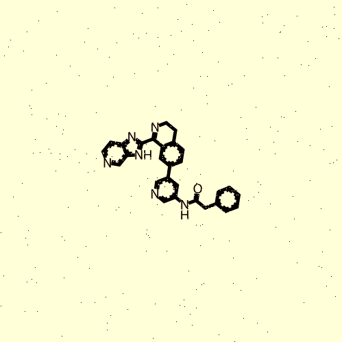 O=C(Cc1ccccc1)Nc1cncc(-c2ccc3c(c2)C(c2nc4ccncc4[nH]2)=NCC3)c1